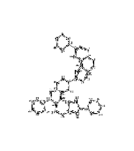 c1ccc(-c2ccc3ccc4ccc(-c5ccc6nc(-c7ccccc7)c7ccc8oc(-c9ccccc9)nc8c7c6c5)nc4c3n2)cc1